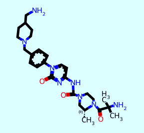 C[C@@H]1CN(C(=O)Nc2ccn(-c3ccc(CN4CCC(CN)CC4)cc3)c(=O)n2)CCN1C(=O)C(C)(C)N